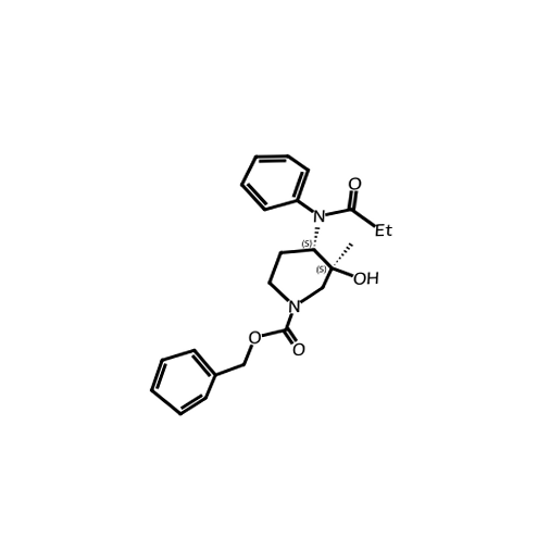 CCC(=O)N(c1ccccc1)[C@H]1CCN(C(=O)OCc2ccccc2)C[C@]1(C)O